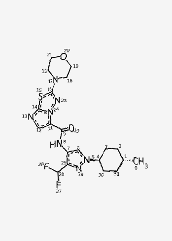 C[C@H]1CC[C@H](n2cc(NC(=O)c3cnc4sc(N5CCOCC5)nn34)c(C(F)F)n2)CC1